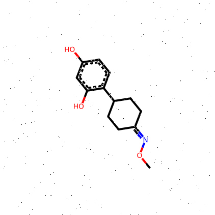 CON=C1CCC(c2ccc(O)cc2O)CC1